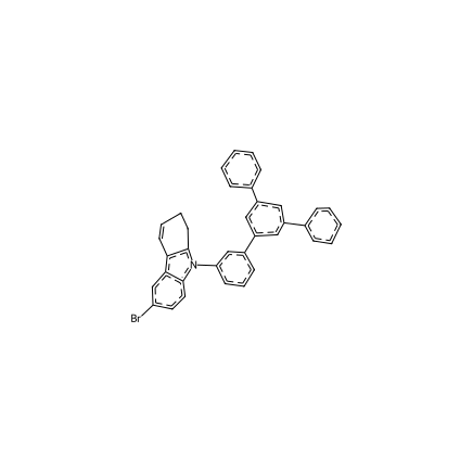 Brc1ccc2c(c1)c1c(n2-c2cccc(-c3cc(-c4ccccc4)cc(-c4ccccc4)c3)c2)CCC=C1